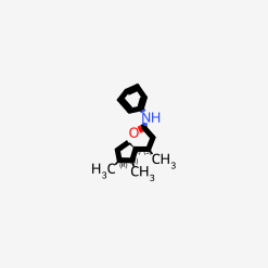 C[C@H]1[C@@H]([C@@H](C)CC(=O)Nc2ccccc2)CC[C@H]1C